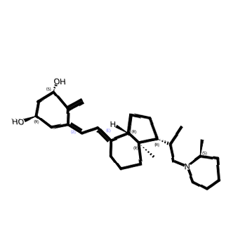 C=C1/C(=C\C=C2/CCC[C@]3(C)[C@@H](C(C)CN4CCCC[C@@H]4C)CC[C@@H]23)C[C@@H](O)C[C@@H]1O